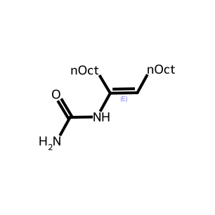 CCCCCCCC/C=C(\CCCCCCCC)NC(N)=O